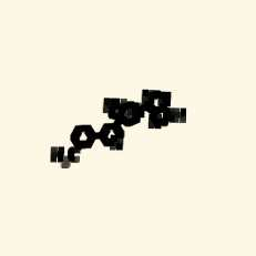 Cc1cccc(-c2cncc(C3(CN)CCN(c4ncnc5[nH]cnc45)CC3)c2)c1